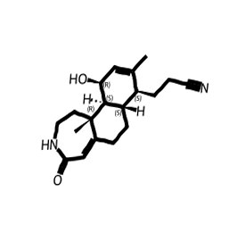 CC1=C[C@H](O)[C@H]2[C@@H](CCC3=CC(=O)NCC[C@@]32C)[C@@H]1CCC#N